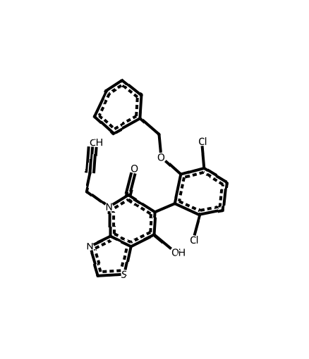 C#CCn1c(=O)c(-c2c(Cl)ccc(Cl)c2OCc2ccccc2)c(O)c2scnc21